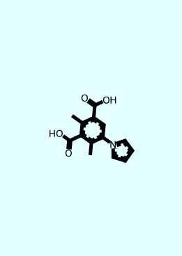 Cc1c(C(=O)O)cc(-n2cccc2)c(C)c1C(=O)O